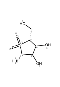 B[C@H]1C(O)C(O)[C@@H](CO)S1(=O)=O